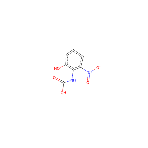 O=C(O)Nc1c(O)cccc1[N+](=O)[O-]